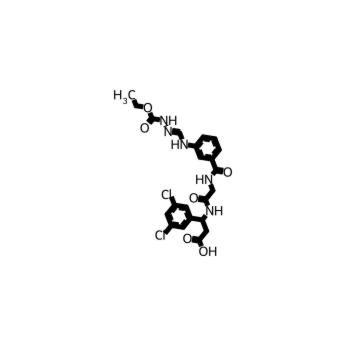 CCOC(=O)NN=CNc1cccc(C(=O)NCC(=O)NC(CC(=O)O)c2cc(Cl)cc(Cl)c2)c1